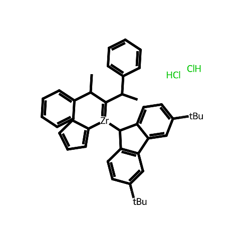 CC([C](C(C)c1ccccc1)=[Zr]([C]1=CC=CC1)[CH]1c2ccc(C(C)(C)C)cc2-c2cc(C(C)(C)C)ccc21)c1ccccc1.Cl.Cl